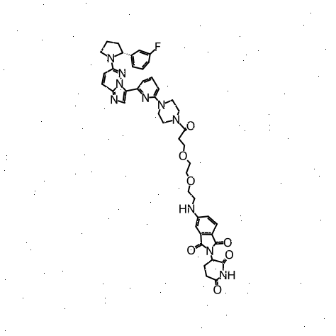 O=C1CCC(N2C(=O)c3ccc(NCCOCCOCCC(=O)N4CCN(c5cccc(-c6cnc7ccc(N8CCC[C@@H]8c8cccc(F)c8)nn67)n5)CC4)cc3C2=O)C(=O)N1